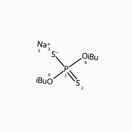 CC(C)COP(=S)([S-])OCC(C)C.[Na+]